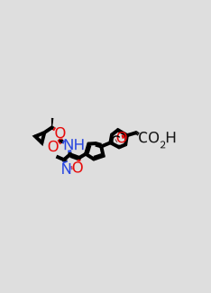 Cc1noc(-c2ccc(C34CCC(CC(=O)O)(CC3)OC4)cc2)c1NC(=O)O[C@H](C)C1CC1